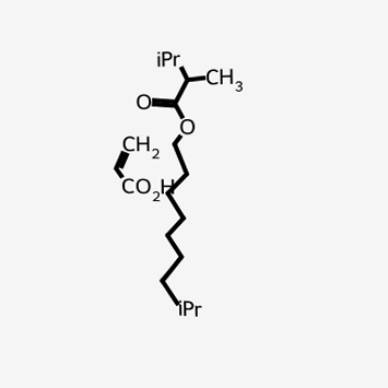 C=CC(=O)O.CC(C)CCCCCCCOC(=O)C(C)C(C)C